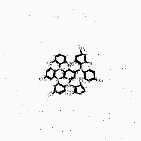 Cc1cc(C)c(N(c2ccc(C(C)(C)C)cc2)c2cc3c4c(c2)N(c2c(C)cccc2C)c2ccc(C(C)(C)C)cc2B4c2cc(C(C)(C)C)ccc2N3c2c(C)cccc2C)c(C)c1